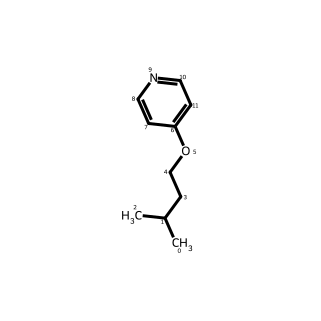 CC(C)CCOc1ccncc1